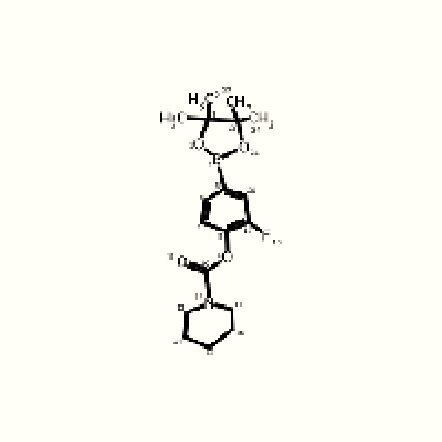 CC1(C)OB(c2ccc(OC(=O)N3CCCCC3)c(F)c2)OC1(C)C